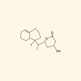 CC(C1CC(O)CC(=O)O1)C1(I)CCCC2=CCCCC21